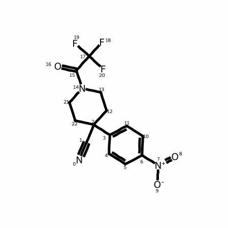 N#CC1(c2ccc([N+](=O)[O-])cc2)CCN(C(=O)C(F)(F)F)CC1